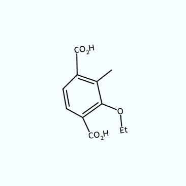 CCOc1c(C(=O)O)ccc(C(=O)O)c1C